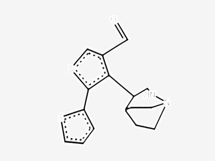 O=Cc1csc(-c2cccs2)c1C1CNN2CCC1CC2